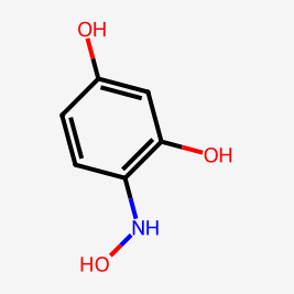 ONc1ccc(O)cc1O